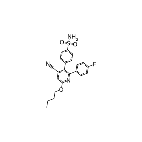 CCCCOc1cc(C#N)c(-c2ccc(S(N)(=O)=O)cc2)c(-c2ccc(F)cc2)n1